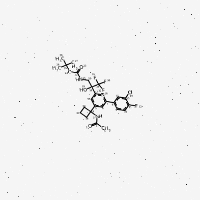 CC(=O)NC1(c2cc(-c3ccc(F)c(Cl)c3)nc(C(O)(CNC(=O)OC(C)(C)C)C(F)(F)F)c2)CCC1